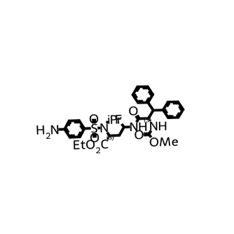 CCOC(=O)[C@H](CC(F)NC(=O)[C@@H](NC(=O)OC)C(c1ccccc1)c1ccccc1)N(C(C)C)S(=O)(=O)c1ccc(N)cc1